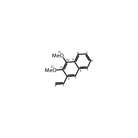 C=Cc1cc2ccccc2c(OC)c1OC